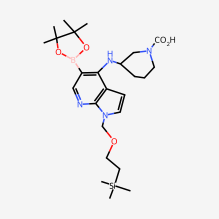 CC1(C)OB(c2cnc3c(ccn3COCC[Si](C)(C)C)c2NC2CCCN(C(=O)O)C2)OC1(C)C